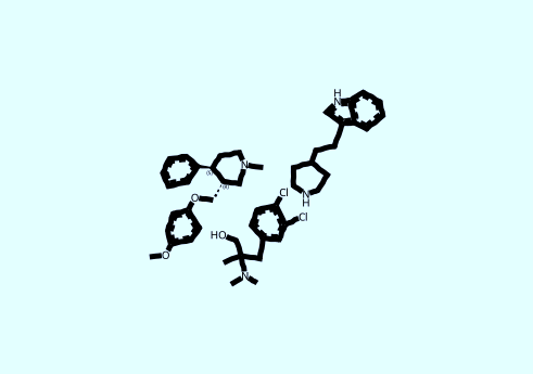 CN(C)C(C)(CO)Cc1ccc(Cl)c(Cl)c1.COc1ccc(OC[C@H]2CN(C)CC[C@@H]2c2ccccc2)cc1.c1ccc2c(CCC3CCNCC3)c[nH]c2c1